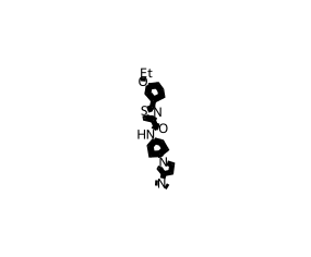 CCOc1cccc(-c2nc(C(=O)Nc3ccc(N4CCC(N(C)C)C4)cc3)cs2)c1